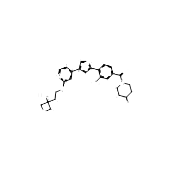 O=C(c1ccc(-c2cc(-c3ccnc(OCCC4(O)COC4)c3)cs2)c(Cl)c1)N1CCC(O)CC1